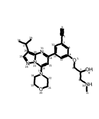 C#Cc1cc(OCC(O)CNC)cc(-c2cc(N3CCOCC3)n3ncc(C(C)C)c3n2)c1